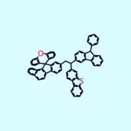 c1ccc(C2c3ccccc3-c3cc(C(Cc4ccc5c(c4)C4(c6ccccc6Oc6ccccc64)c4c-5ccc5ccccc45)c4ccc5c(c4)sc4ccccc45)ccc32)cc1